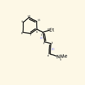 CC/C(=C\C=C\NC)C1=CCCC=C1